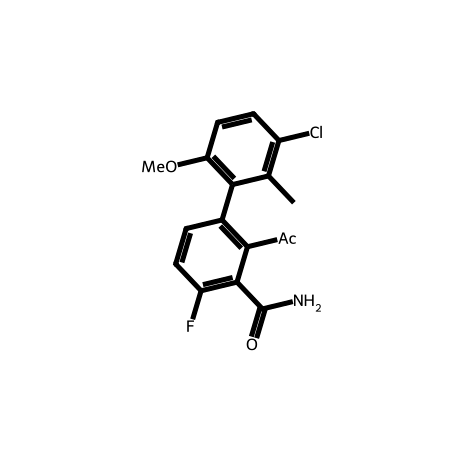 COc1ccc(Cl)c(C)c1-c1ccc(F)c(C(N)=O)c1C(C)=O